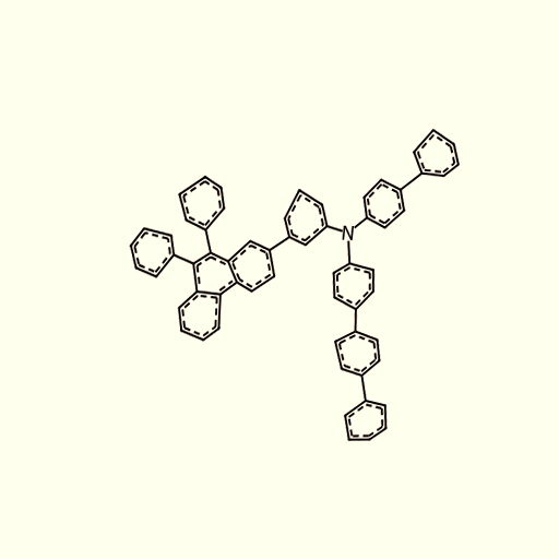 c1ccc(-c2ccc(-c3ccc(N(c4ccc(-c5ccccc5)cc4)c4cccc(-c5ccc6c(c5)c(-c5ccccc5)c(-c5ccccc5)c5ccccc56)c4)cc3)cc2)cc1